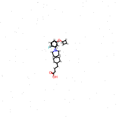 O=C(O)CCCC1CCC2(CC1)CCN(c1cc(OC3CCC3)ccc1F)CC2